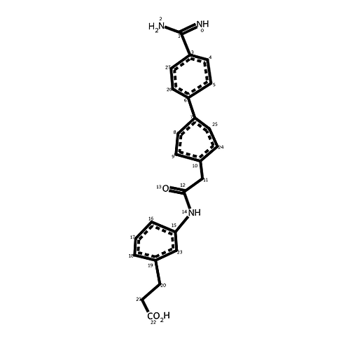 N=C(N)c1ccc(-c2ccc(CC(=O)Nc3cccc(CCC(=O)O)c3)cc2)cc1